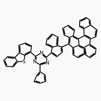 c1ccc(-c2nc(-c3ccc(-c4c5ccccc5c(-c5c(-c6ccccc6)ccc6ccccc56)c5ccccc45)c4ccccc34)nc(-c3cccc4c3sc3ccccc34)n2)cc1